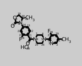 Cc1cnc(N2CCN(C(=O)c3ccc(N4C(=O)OC[C@H]4C)cc3F)CC2)c(F)c1.Cl